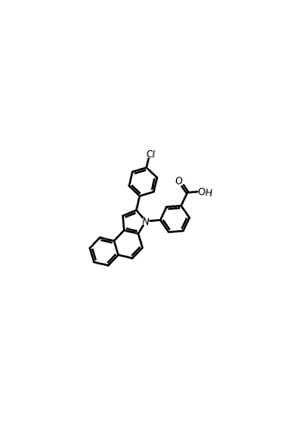 O=C(O)c1cccc(-n2c(-c3ccc(Cl)cc3)cc3c4ccccc4ccc32)c1